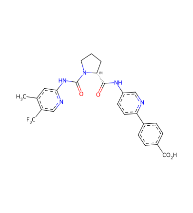 Cc1cc(NC(=O)N2CCC[C@@H]2C(=O)Nc2ccc(-c3ccc(C(=O)O)cc3)nc2)ncc1C(F)(F)F